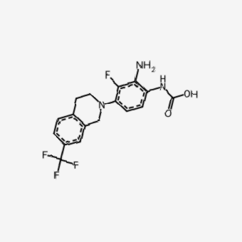 Nc1c(NC(=O)O)ccc(N2CCc3ccc(C(F)(F)F)cc3C2)c1F